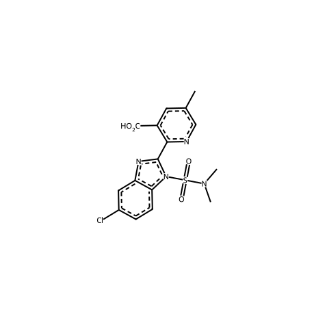 Cc1cnc(-c2nc3cc(Cl)ccc3n2S(=O)(=O)N(C)C)c(C(=O)O)c1